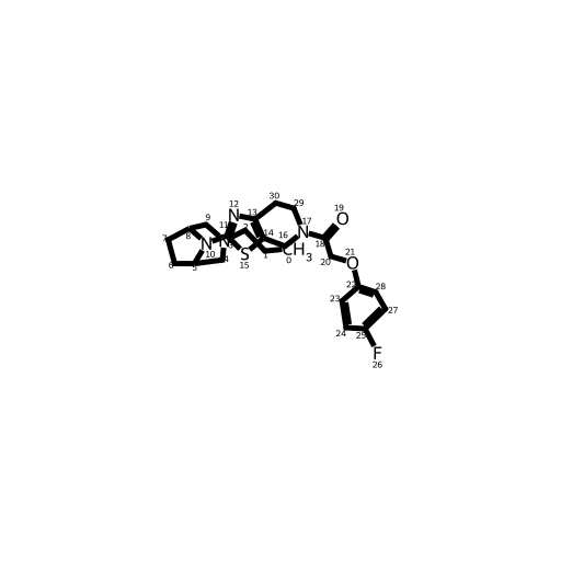 CCCN1CC2CCC(C1)N2c1nc2c(s1)CN(C(=O)COc1ccc(F)cc1)CC2